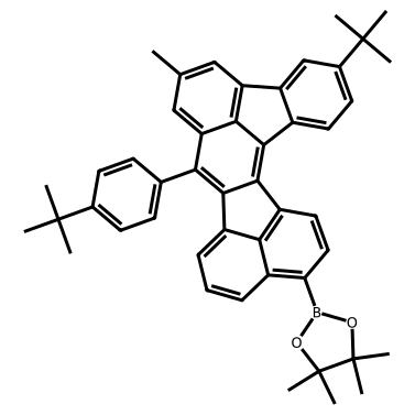 Cc1cc2c(-c3ccc(C(C)(C)C)cc3)c3c4cccc5c(B6OC(C)(C)C(C)(C)O6)ccc(c54)c3c3c4ccc(C(C)(C)C)cc4c(c1)c23